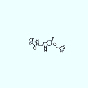 O=C(NCc1cc2cc(F)c(OCc3cscn3)cc2[nH]1)C1(C(F)(F)F)CC1